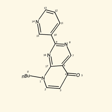 CCCCn1ccc(=O)c2cnc(-c3cccnc3)nc21